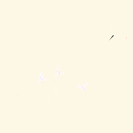 COc1ccc(C)cc1NC(=O)Nc1cncc([C@H]2CC[C@H](C(=O)O)CC2)c1